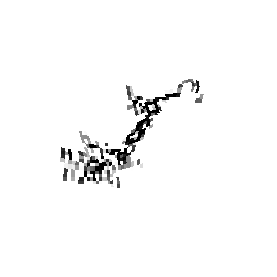 CCCCCc1ccc(-c2cc3ccc(OC(C)CC(C)(C)OC(=O)C(C)(CC(C)(C)C)C(C)(C)C)cc3s2)c(OC(F)(F)F)c1